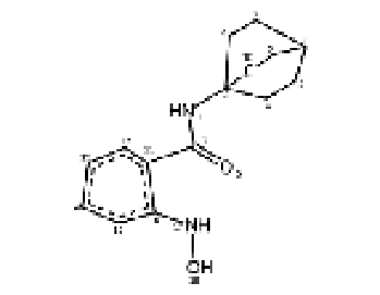 O=C(NC12CCC(CC1)CC2)c1ccccc1NO